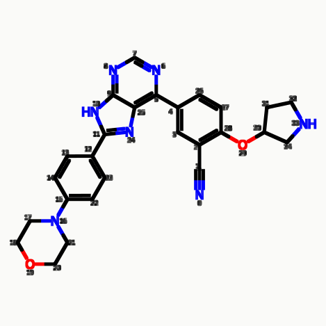 N#Cc1cc(-c2ncnc3[nH]c(-c4ccc(N5CCOCC5)cc4)nc23)ccc1OC1CCNC1